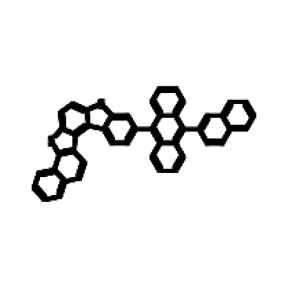 c1ccc2cc(-c3c4ccccc4c(-c4ccc5c(c4)sc4ccc6sc7c8ccccc8ccc7c6c45)c4ccccc34)ccc2c1